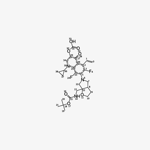 C=Cc1c(F)c(N2CC3CCOC3(CNC(=O)OC(C)(C)C)C2)c(F)c2c1c(=O)c(OC(=O)O)cn2C1CC1